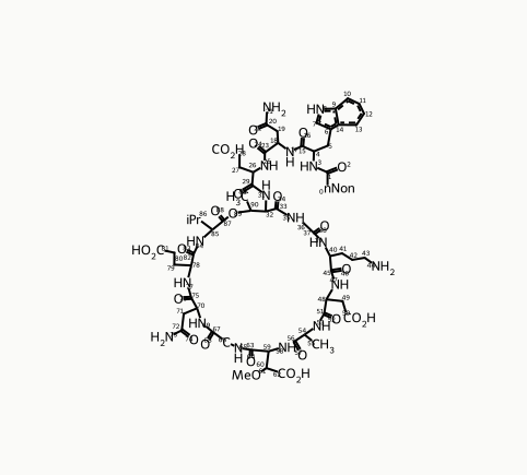 CCCCCCCCCC(=O)NC(Cc1c[nH]c2ccccc12)C(=O)NC(CC(N)=O)C(=O)NC(CC(=O)O)C(=O)NC1C(=O)NCC(=O)NC(CCCN)C(=O)NC(CC(=O)O)C(=O)NC(C)C(=O)NC(C(OC)C(=O)O)C(=O)NCC(=O)NC(CC(N)=O)C(=O)NC(CCC(=O)O)C(=O)NC(C(C)C)C(=O)OC1C